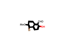 COc1ccc2c(C=O)c(O)ccc2c1Br